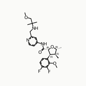 COCC(C)(C)NCc1cc(NC(=O)[C@@H]2O[C@H](C)[C@@H](C)[C@H]2c2ccc(F)c(F)c2OC)ccn1